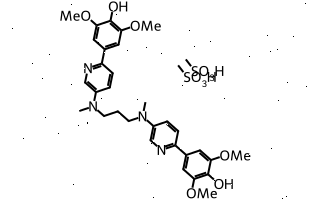 COc1cc(-c2ccc(N(C)CCCN(C)c3ccc(-c4cc(OC)c(O)c(OC)c4)nc3)cn2)cc(OC)c1O.CS(=O)(=O)O.CS(=O)(=O)O